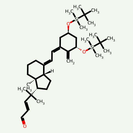 C=C1/C(=C\C=C2/CCC[C@]3(C)[C@@H](C(C)(C)/C=C/C=O)CC[C@@H]23)C[C@@H](O[Si](C)(C)C(C)(C)C)C[C@@H]1O[Si](C)(C)C(C)(C)C